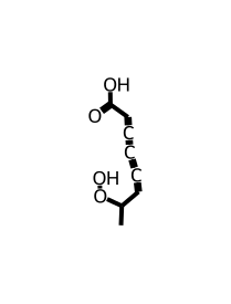 CC(C=C=C=C=CC(=O)O)OO